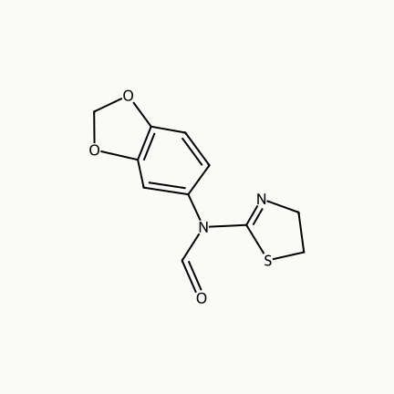 O=CN(C1=NCCS1)c1ccc2c(c1)OCO2